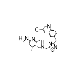 Cc1cc(N)nc(C)c1CNCc1nc(Cc2ccc3ncc(Cl)cc3c2)no1